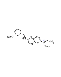 COc1cccc(CNc2cnc3cc(/C(C=N)=C/N)ccc3n2)c1